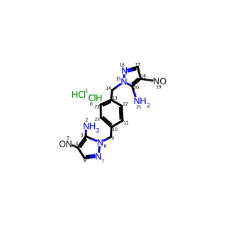 Cl.Cl.Nc1c(N=O)cnn1Cc1ccc(Cn2ncc(N=O)c2N)cc1